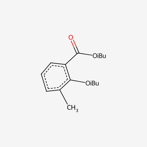 Cc1cccc(C(=O)OCC(C)C)c1OCC(C)C